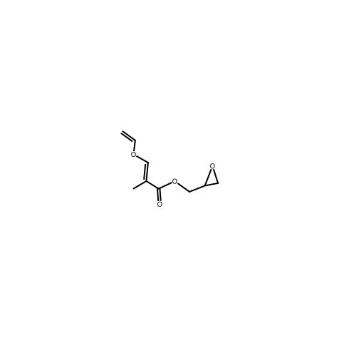 C=COC=C(C)C(=O)OCC1CO1